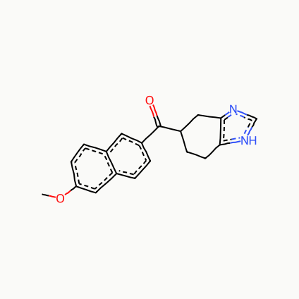 COc1ccc2cc(C(=O)C3CCc4[nH]cnc4C3)ccc2c1